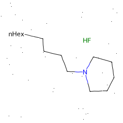 CCCCCCCCCCN1CCCCC1.F